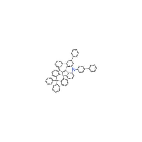 C=CC1=C(C=C)C2(c3ccccc3C(c3ccccc3)(c3ccccc3)c3ccccc32)c2cccc(N(c3ccc(-c4ccccc4)cc3)c3cc(-c4ccccc4)cc(-c4ccccc4)c3)c21